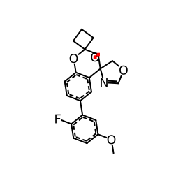 COc1ccc(F)c(-c2ccc3c(c2)C2(COC=N2)C2(CCO2)C2(CCC2)O3)c1